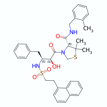 Cc1ccccc1CNC(=O)[C@H]1N(C(=O)[C@@H](O)[C@H](Cc2ccccc2)NS(=O)(=O)CCc2cccc3ccccc23)CSC1(C)C